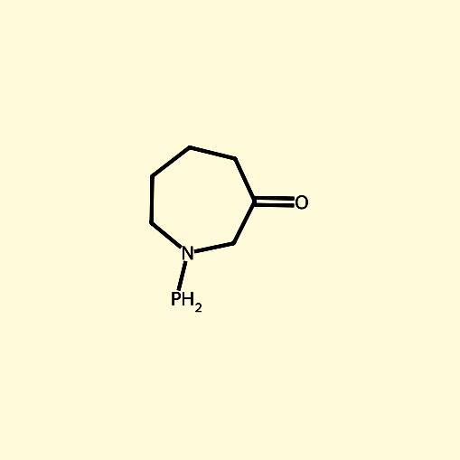 O=C1CCCCN(P)C1